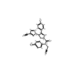 N#CCN(C(=O)N1CC(n2cc(C#N)cn2)C(c2ccc(Cl)cc2)=N1)c1ccc(Cl)cc1